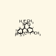 Cc1cc(C)c2c(c1)OC(C)(C)N=C2c1ccc(F)cc1